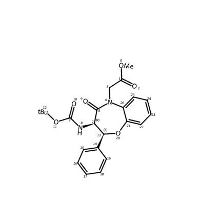 COC(=O)CN1C(=O)[C@H](NC(=O)OC(C)(C)C)[C@H](c2ccccc2)Oc2ccccc21